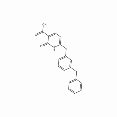 O=C(O)c1ccc(Cc2cccc(Cc3ccccc3)c2)[nH]c1=O